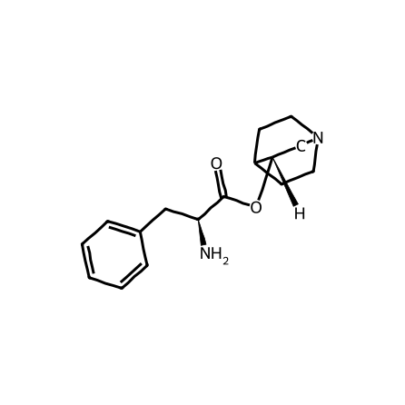 N[C@@H](Cc1ccccc1)C(=O)O[C@H]1CN2CCC1CC2